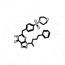 CC(CCCc1ccccc1)n1nnc2c(=O)[nH]c(Cc3ccc(S(=O)(=O)N4CCOCC4)cc3)nc21